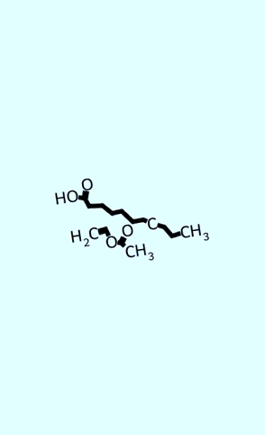 C=COC(C)=O.CCCCCCCCCCC(=O)O